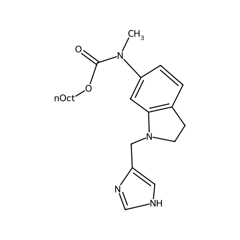 CCCCCCCCOC(=O)N(C)c1ccc2c(c1)N(Cc1c[nH]cn1)CC2